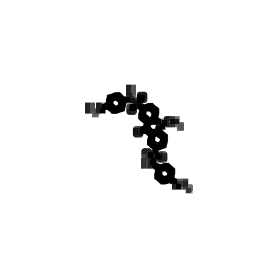 Cn1c2ccc(S(=O)(=O)Nc3ccc(N)cc3)cc2c(=O)c2cc(S(=O)(=O)Nc3ccc(N)cc3)ccc21